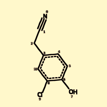 N#CCc1ccc(O)c(Cl)c1